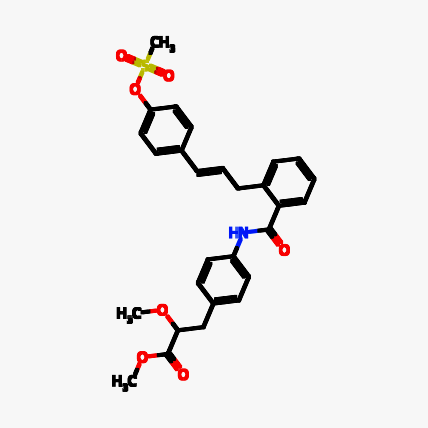 COC(=O)C(Cc1ccc(NC(=O)c2ccccc2C/C=C/c2ccc(OS(C)(=O)=O)cc2)cc1)OC